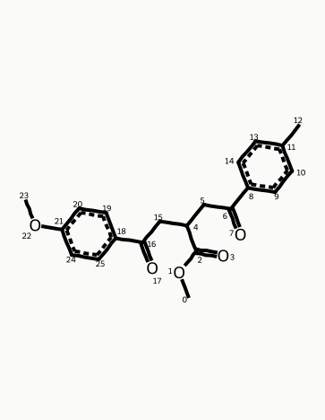 COC(=O)C(CC(=O)c1ccc(C)cc1)CC(=O)c1ccc(OC)cc1